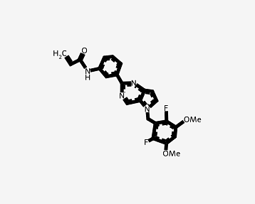 C=CC(=O)Nc1cccc(-c2ncc3c(ccn3Cc3c(F)c(OC)cc(OC)c3F)n2)c1